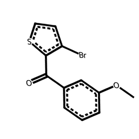 COc1cccc(C(=O)c2sccc2Br)c1